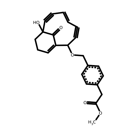 COC(=O)Cc1ccc(COC2C#C/C=C/C#CC3(O)CCC=C2C3=O)cc1